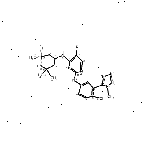 Cn1nnnc1-c1cc(Nc2ncc(F)c(NC3CC(C)(C)NC(C)(C)C3)n2)ccc1Cl